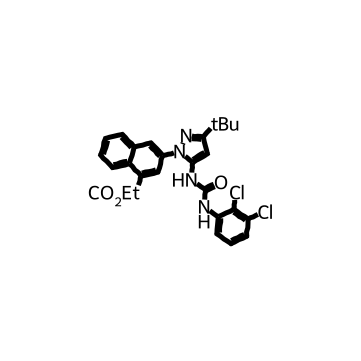 CCOC(=O)c1cc(-n2nc(C(C)(C)C)cc2NC(=O)Nc2cccc(Cl)c2Cl)cc2ccccc12